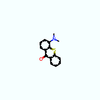 CN(C)c1cccc2c(=O)c3ccccc3sc12